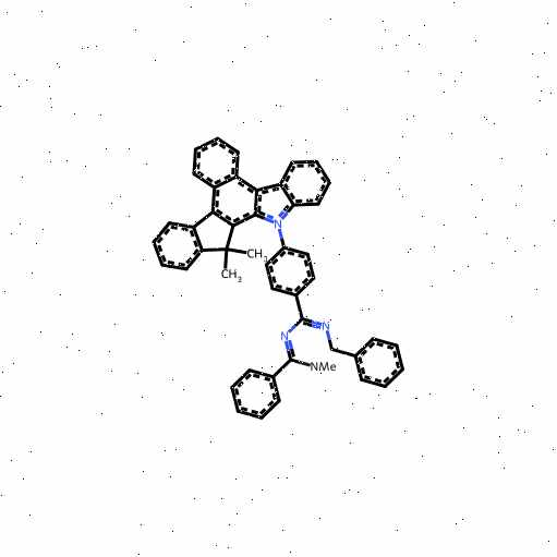 CN/C(=N\C(=N/Cc1ccccc1)c1ccc(-n2c3ccccc3c3c4ccccc4c4c(c32)C(C)(C)c2ccccc2-4)cc1)c1ccccc1